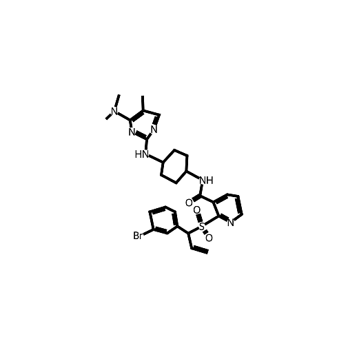 C=CC(c1cccc(Br)c1)S(=O)(=O)c1ncccc1C(=O)NC1CCC(Nc2ncc(C)c(N(C)C)n2)CC1